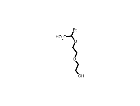 CCC(OCCOCCO)C(=O)O